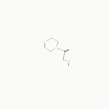 O=C(O)NCC(=O)N1CCNCC1